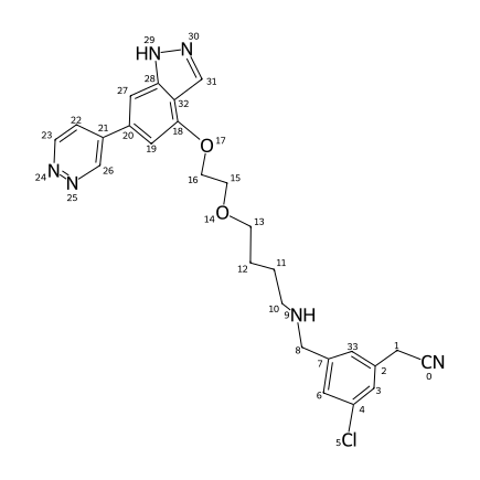 N#CCc1cc(Cl)cc(CNCCCCOCCOc2cc(-c3ccnnc3)cc3[nH]ncc23)c1